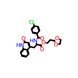 O=C(NC(Cc1cc(=O)[nH]c2ccccc12)C(=O)OCCC1OCCO1)c1ccc(Cl)cc1